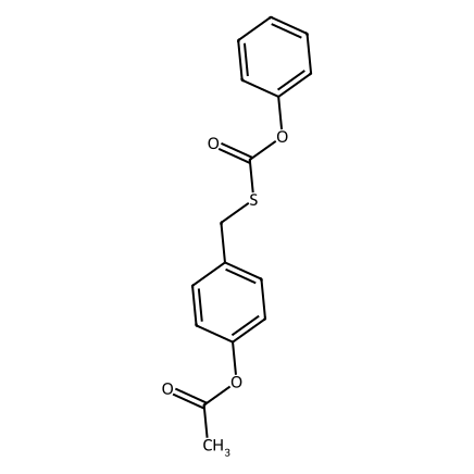 CC(=O)Oc1ccc(CSC(=O)Oc2ccccc2)cc1